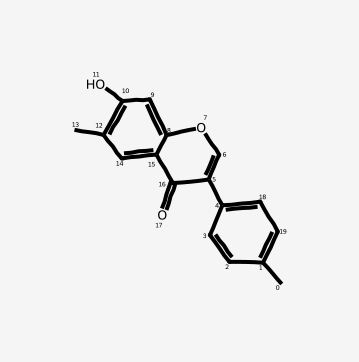 Cc1ccc(-c2coc3cc(O)c(C)cc3c2=O)cc1